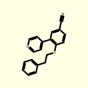 N#Cc1ccc(OCCc2ccccc2)c(-c2ccncc2)c1